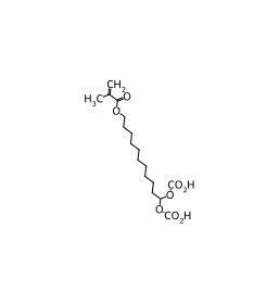 C=C(C)C(=O)OCCCCCCCCCCC(OC(=O)O)OC(=O)O